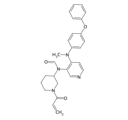 C=CC(=O)N1CCCC(N(C=O)c2cnccc2N(C)c2ccc(Oc3ccccc3)cc2)C1